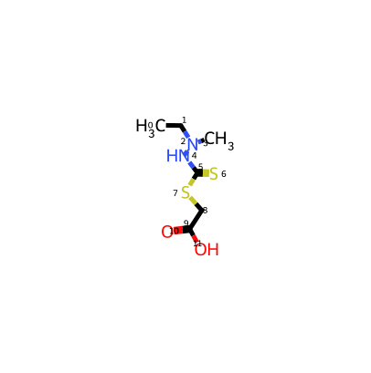 CCN(C)NC(=S)SCC(=O)O